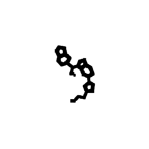 CC(c1ccc2nccn2c1)c1cnc2ccc(-c3cnn(CCO)c3)nn12